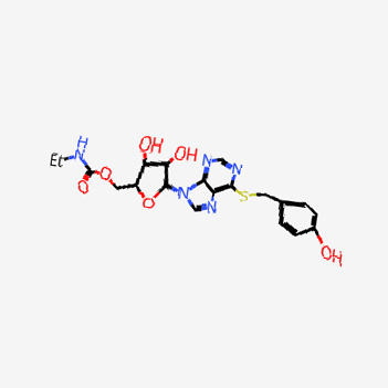 CCNC(=O)OCC1OC(n2cnc3c(SCc4ccc(O)cc4)ncnc32)C(O)C1O